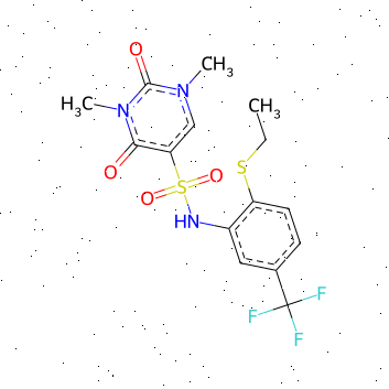 CCSc1ccc(C(F)(F)F)cc1NS(=O)(=O)c1cn(C)c(=O)n(C)c1=O